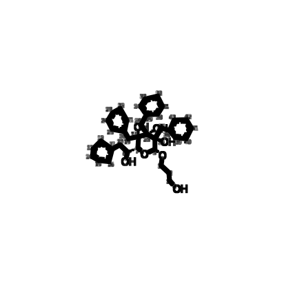 OCCCO[C@@H]1O[C@H](C(O)Cc2ccccc2)[C@@](O)(Cc2ccccc2)[C@@](O)(Cc2ccccc2)[C@]1(O)Cc1ccccc1